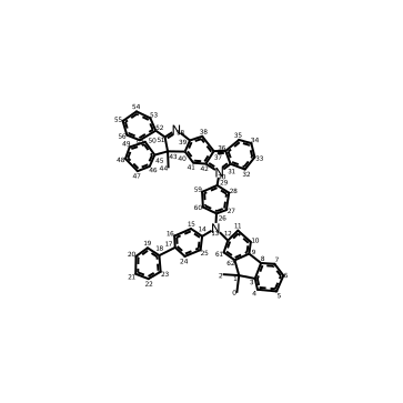 CC1(C)c2ccccc2-c2ccc(N(c3ccc(-c4ccccc4)cc3)c3ccc(-n4c5ccccc5c5cc6c(cc54)C(C)(c4ccccc4)C(c4ccccc4)=N6)cc3)cc21